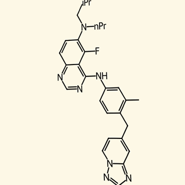 CCCN(CC(C)C)c1ccc2ncnc(Nc3ccc(Cc4ccn5ncnc5c4)c(C)c3)c2c1F